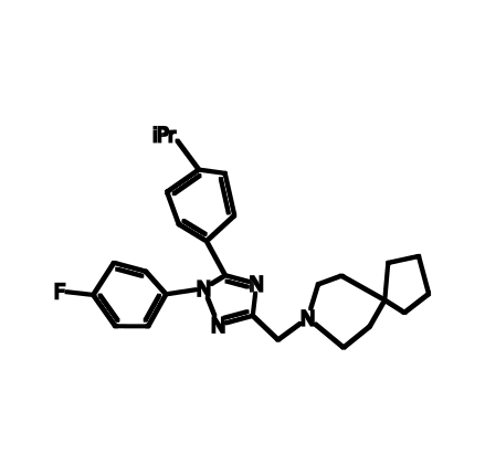 CC(C)c1ccc(-c2nc(CN3CCC4(CCCC4)CC3)nn2-c2ccc(F)cc2)cc1